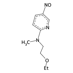 CCOCCN(C)c1ccc(N=O)cn1